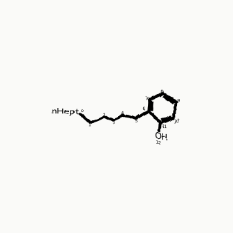 CCCCCCCCCCCCc1ccccc1O